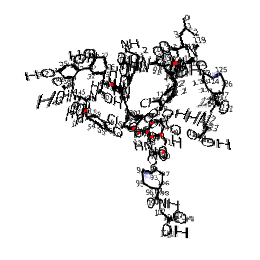 CC(C)CC(C(=O)N[C@H]1C(=O)N[C@@H](CC(N)=O)C(=O)N[C@H]2C(=O)N[C@@H]3c4ccc(O)c(c4)-c4c(O)cc(O)cc4[C@@H](C(=O)O)NC(=O)[C@@H](NC3O)[C@H](O)c3ccc(c(Cl)c3)Oc3cc2cc(c3O[C@@H]2O[C@H](CO)[C@@H](O)[C@H](O)[C@H]2O[C@@H](C)O[C@@H](C)[C@@H](O)C(C)NC(=O)O[C@@H]2/C=C/CC[C@](C)(C(=O)NCC(=O)O)CC2)Oc2ccc(cc2Cl)[C@H]1O)N(C)C(=O)O[C@@H]1/C=C/CC[C@](C)(C(=O)NCC(=O)O)CC1